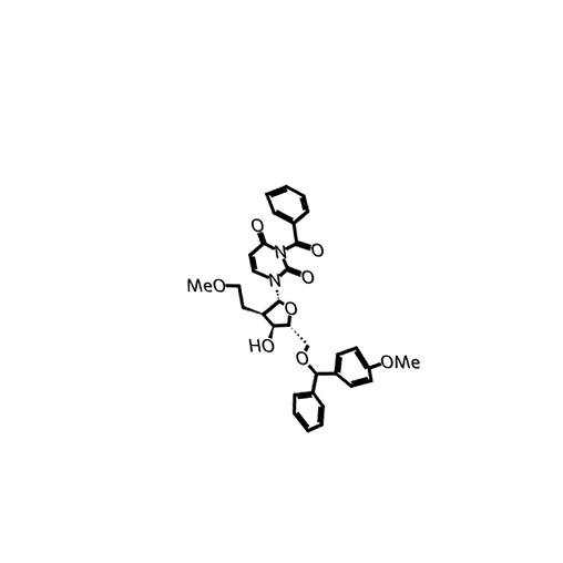 COCC[C@@H]1[C@H](O)[C@@H](COC(c2ccccc2)c2ccc(OC)cc2)O[C@H]1n1ccc(=O)n(C(=O)c2ccccc2)c1=O